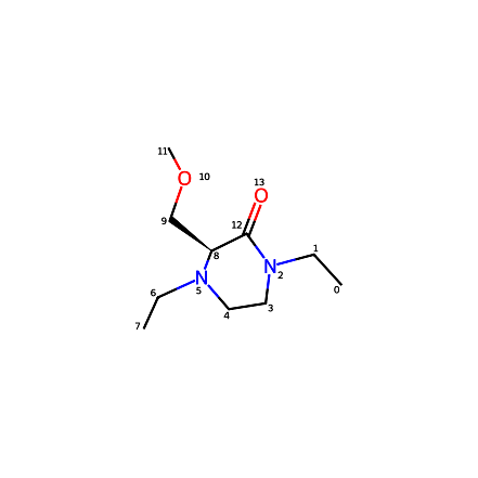 CCN1CCN(CC)[C@@H](COC)C1=O